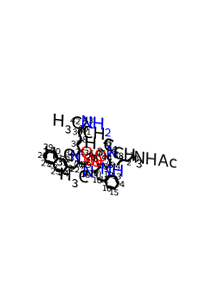 CC(=O)NCCCC[C@H](NC(=O)[C@@H](Cc1ccccc1)N(C)C(=O)[C@@H](Cc1ccc2ccccc2c1)N(C)C(=O)C=CCC(C)(C)N)C(=O)N(C)C